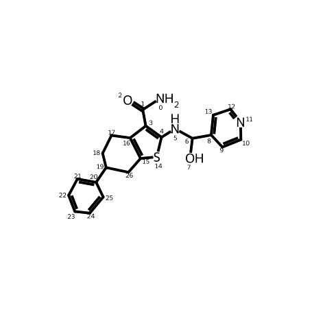 NC(=O)c1c(NC(O)c2ccncc2)sc2c1CCC(c1ccccc1)C2